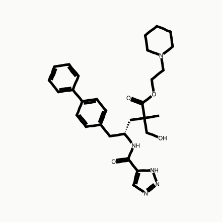 CC(CO)(C[C@@H](Cc1ccc(-c2ccccc2)cc1)NC(=O)c1cnn[nH]1)C(=O)OCCN1CCCCC1